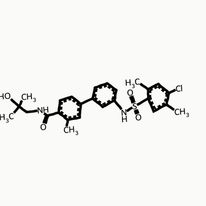 Cc1cc(S(=O)(=O)Nc2cccc(-c3ccc(C(=O)NCC(C)(C)O)c(C)c3)c2)c(C)cc1Cl